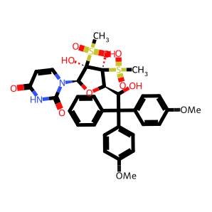 COc1ccc(C(c2ccccc2)(c2ccc(OC)cc2)C(O)[C@H]2O[C@@H](n3ccc(=O)[nH]c3=O)[C@@](O)(S(C)(=O)=O)[C@@]2(O)S(C)(=O)=O)cc1